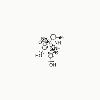 CC(C)(O)c1csc(S(N)(=O)=O)c1.CC(C)c1cccc(C(C)C)c1NC(=O)NS(=O)(=O)c1cc(C(C)(C)O)cs1